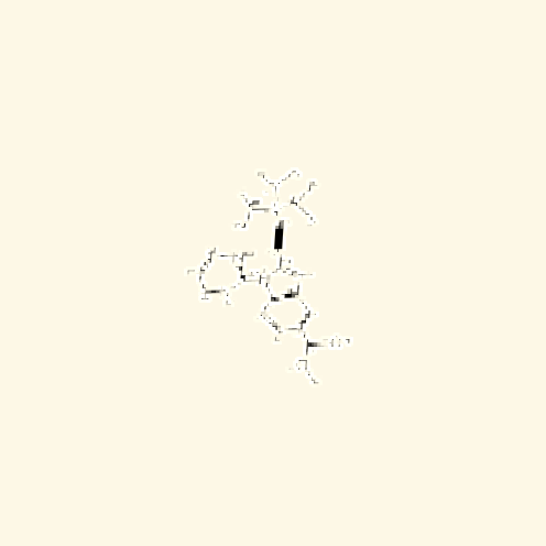 COC(=O)c1ccc2c(c1)cc(C#C[Si](C(C)C)(C(C)C)C(C)C)n2-c1ncccn1